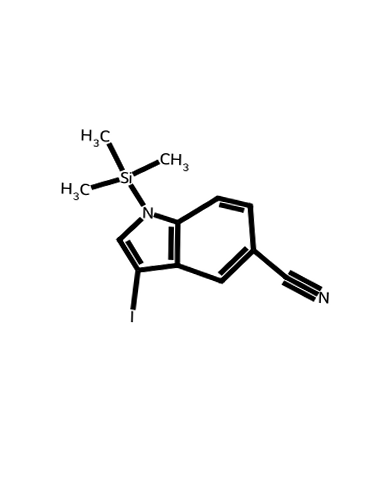 C[Si](C)(C)n1cc(I)c2cc(C#N)ccc21